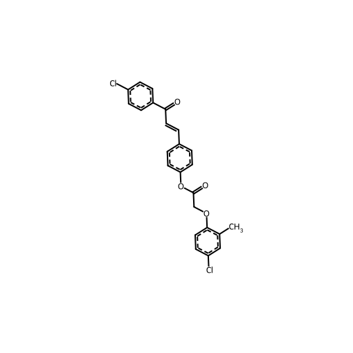 Cc1cc(Cl)ccc1OCC(=O)Oc1ccc(/C=C/C(=O)c2ccc(Cl)cc2)cc1